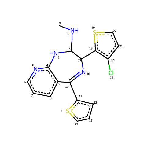 CNC1Nc2ncccc2C(c2cccs2)=NC1c1sccc1Cl